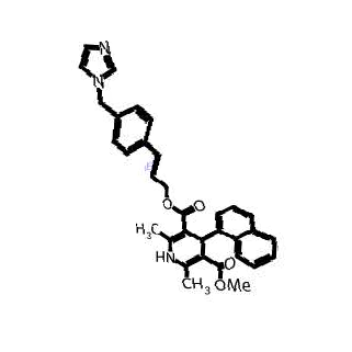 COC(=O)C1=C(C)NC(C)=C(C(=O)OC/C=C/c2ccc(Cn3ccnc3)cc2)C1c1cccc2ccccc12